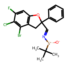 CC(C)(C)[S@@+]([O-])N=CC1(c2ccccc2)Cc2c(cc(F)c(Cl)c2Br)O1